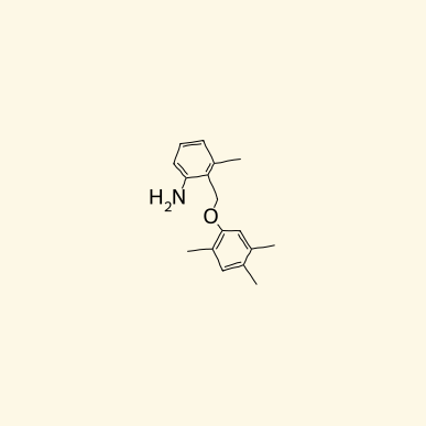 Cc1cc(C)c(OCc2c(C)cccc2N)cc1C